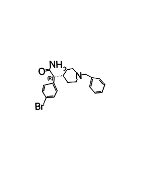 NC(=O)[C@@H](c1ccc(Br)cc1)C1CCN(Cc2ccccc2)CC1